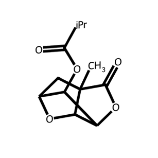 CC(C)C(=O)OC1C2CC3(C)C(=O)OC1C3O2